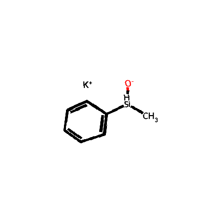 C[SiH]([O-])c1ccccc1.[K+]